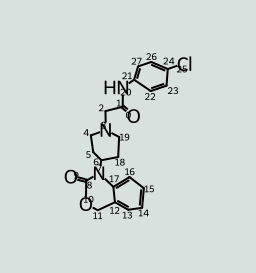 O=C(CN1CCC(N2C(=O)OCc3ccccc32)CC1)Nc1ccc(Cl)cc1